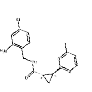 Cc1ccnc([C@H]2C[C@@H]2C(=O)NCc2ccc(Cl)cc2N)n1